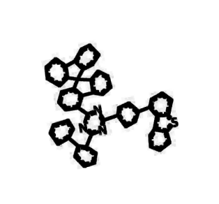 c1ccc(-c2ccccc2-c2nc(-c3ccc(-c4cccc5sc6ccccc6c45)cc3)nc(-c3cccc4c3-c3ccccc3C43c4ccccc4-c4ccccc43)n2)cc1